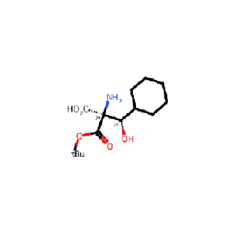 CC(C)(C)OC(=O)[C@](N)(C(=O)O)[C@H](O)C1CCCCC1